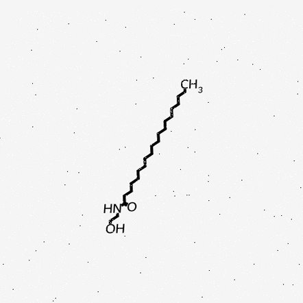 CCCCCCCCCCCCCCCCCCCC(=O)NCCO